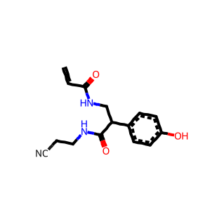 C=CC(=O)NCC(C(=O)NCCC#N)c1ccc(O)cc1